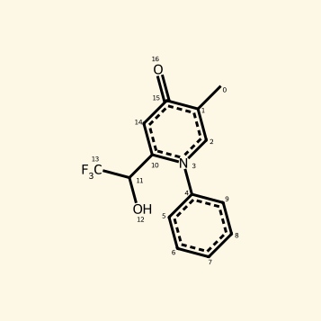 Cc1cn(-c2ccccc2)c(C(O)C(F)(F)F)cc1=O